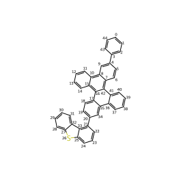 c1ccc(-c2ccc3c(c2)c2ccccc2c2c4ccc(-c5cccc6sc7ccccc7c56)cc4c4ccccc4c32)cc1